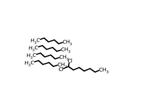 CCCCCC.CCCCCC.CCCCCC.CCCCCC.CCCCCCC(Cl)Cl